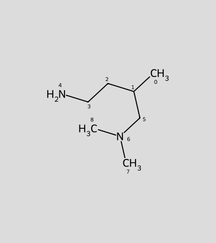 CC(CCN)CN(C)C